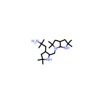 CC(C)(N)CC1CC(C)(C)NC1CN1C2NC(C)(C)CC2CC1(C)C